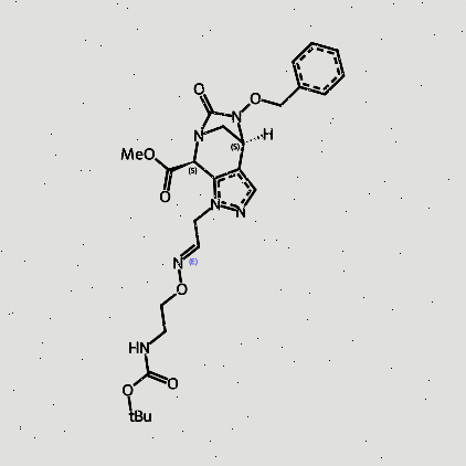 COC(=O)[C@@H]1c2c(cnn2C/C=N/OCCNC(=O)OC(C)(C)C)[C@H]2CN1C(=O)N2OCc1ccccc1